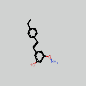 CCc1ccc(/C=C/c2cc(O)cc(ON)c2)cc1